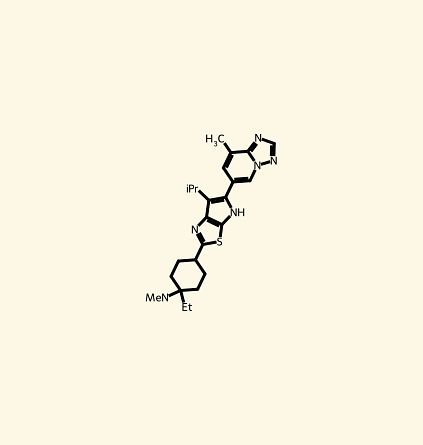 CCC1(NC)CCC(c2nc3c(C(C)C)c(-c4cc(C)c5ncnn5c4)[nH]c3s2)CC1